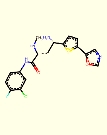 CN[C@H](C[C@H](N)c1ccc(-c2cnco2)s1)C(=O)Nc1ccc(F)c(Cl)c1